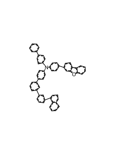 c1ccc(-c2ccc(N(c3ccc(-c4cccc(-c5cccc(-c6cccc7ccccc67)c5)c4)cc3)c3ccc(-c4ccc5c(c4)oc4ccccc45)cc3)cc2)cc1